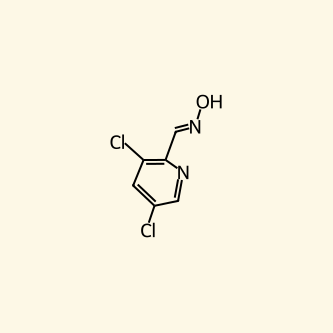 ON=Cc1ncc(Cl)cc1Cl